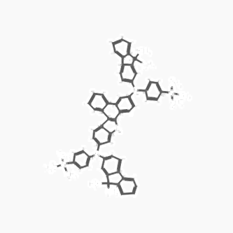 CC1(C)c2ccccc2-c2ccc(N(c3ccc([Si](C)(C)C)cc3)c3ccc4c(c3)oc3c5ccc(N(c6ccc([Si](C)(C)C)cc6)c6ccc7c(c6)C(C)(C)c6ccccc6-7)cc5c5ccccc5c43)cc21